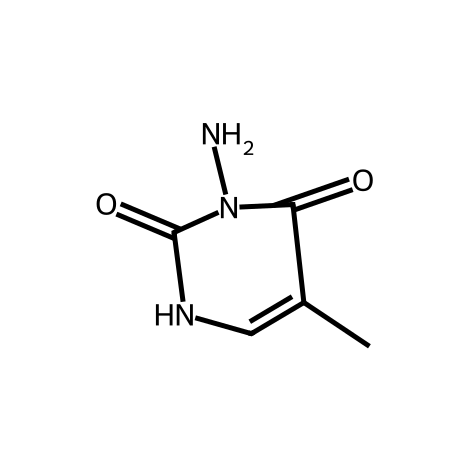 Cc1c[nH]c(=O)n(N)c1=O